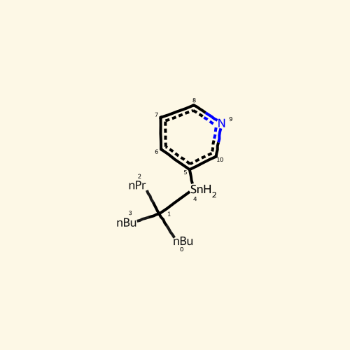 CCCC[C](CCC)(CCCC)[SnH2][c]1cccnc1